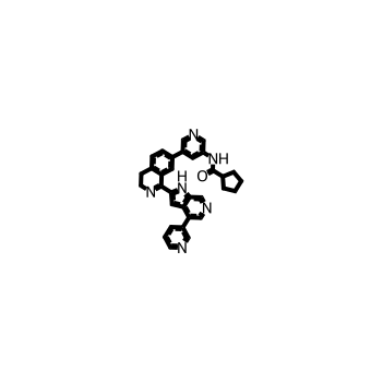 O=C(Nc1cncc(-c2ccc3c(c2)C(c2cc4c(-c5cccnc5)cncc4[nH]2)=NCC3)c1)C1CCCC1